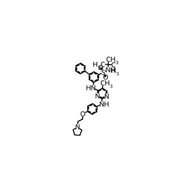 Cc1cnc(Nc2ccc(OCCN3CCCC3)cc2)nc1Nc1cc(-c2ccccc2)cc(S(=O)(=O)NC(C)(C)C)c1